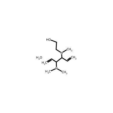 C=CC(C(C=C)N(C)CCO)N(C)C.O